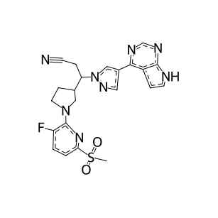 CS(=O)(=O)c1ccc(F)c(N2CCC(C(CC#N)n3cc(-c4ncnc5[nH]ccc45)cn3)C2)n1